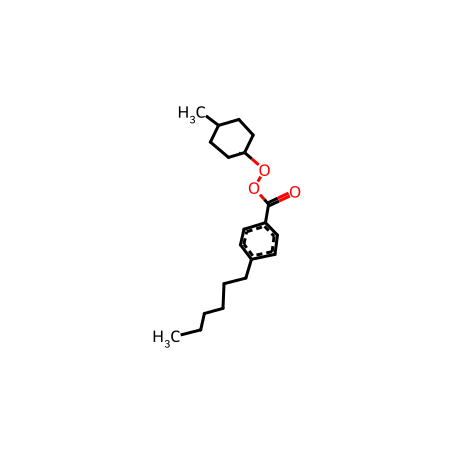 CCCCCCc1ccc(C(=O)OO[C]2CCC(C)CC2)cc1